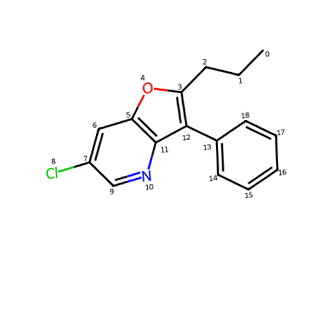 CCCc1oc2cc(Cl)cnc2c1-c1ccccc1